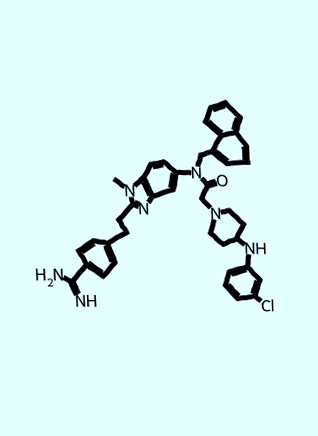 Cn1c(CCc2ccc(C(=N)N)cc2)nc2cc(N(Cc3cccc4ccccc34)C(=O)CN3CCC(Nc4cccc(Cl)c4)CC3)ccc21